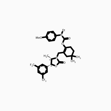 CCN(C(=O)OC1=C(CN2C(=O)O[C@H](c3cc(C(F)(F)F)cc(C(F)(F)F)c3)[C@@H]2C)CC(C)(C)CC1)c1ccc(OC)cc1